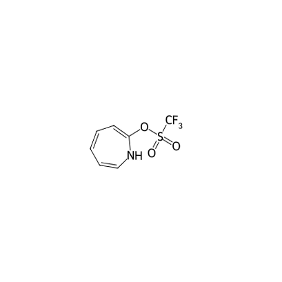 O=S(=O)(OC1=CC=CC=CN1)C(F)(F)F